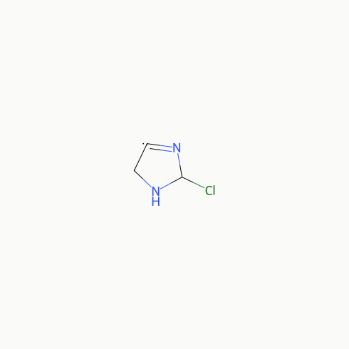 ClC1N=[C]CN1